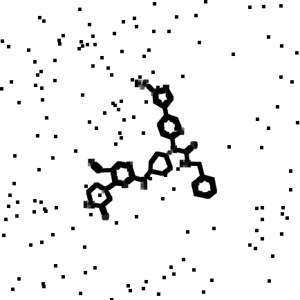 Cn1cc(-c2ccc(N(C(=O)NCc3ccccc3)[C@H]3CC[C@H](Nc4ncc(C#N)c(N5CCNC(=O)C5)n4)CC3)nc2)cn1